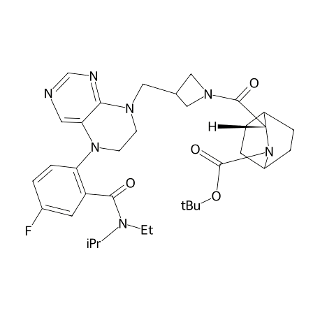 CCN(C(=O)c1cc(F)ccc1N1CCN(CC2CN(C(=O)[C@@H]3C4CCC(CC4)N3C(=O)OC(C)(C)C)C2)c2ncncc21)C(C)C